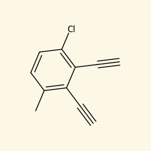 C#Cc1c(C)ccc(Cl)c1C#C